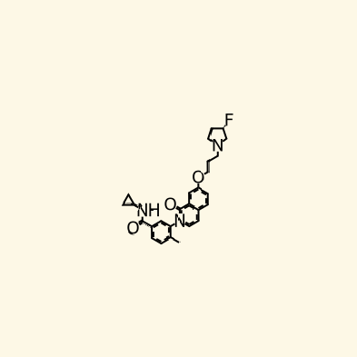 Cc1ccc(C(=O)NC2CC2)cc1-n1ccc2ccc(OCCCN3CC[C@H](F)C3)cc2c1=O